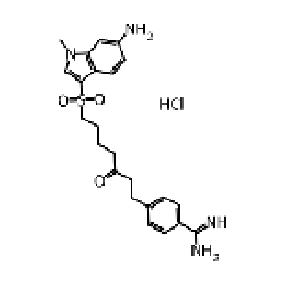 Cl.Cn1cc(S(=O)(=O)CCCCC(=O)CCc2ccc(C(=N)N)cc2)c2ccc(N)cc21